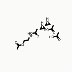 C1CN1.C1CN1.CC(=O)O.CC(=O)O.CC(=O)O.CC(=O)OCCO